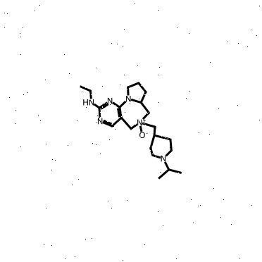 CCNc1ncc2c(n1)N1CCCC1C[N+]([O-])(CC1CCN(C(C)C)CC1)C2